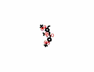 CCc1cc(C=C(OC)C(=O)c2ccc(OC(=O)C(C)(C)C)cc2)c(OC(C)C)cc1OC(=O)C(C)(C)C